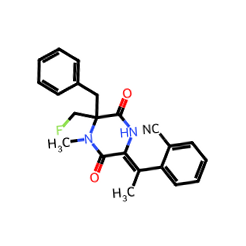 CC(=C1NC(=O)C(CF)(Cc2ccccc2)N(C)C1=O)c1ccccc1C#N